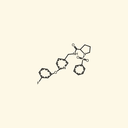 O=C(NCc1ccc(Oc2cccc(F)c2)nc1)C1CCCN1S(=O)(=O)c1ccccc1